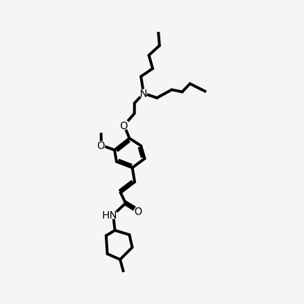 CCCCCN(CCCCC)CCOc1ccc(/C=C/C(=O)NC2CCC(C)CC2)cc1OC